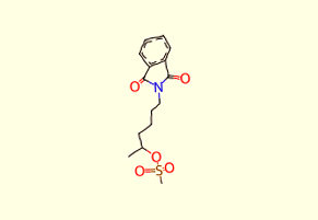 CC(CCCCN1C(=O)c2ccccc2C1=O)OS(C)(=O)=O